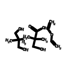 C=COC=C.CC(C)(CO)C(=O)O.CC(C)(CO)CO